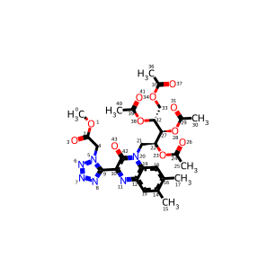 COC(=O)Cn1nnnc1-c1nc2cc(C)c(C)cc2n(C[C@H](OC(C)=O)[C@H](OC(C)=O)[C@@H](COC(C)=O)OC(C)=O)c1=O